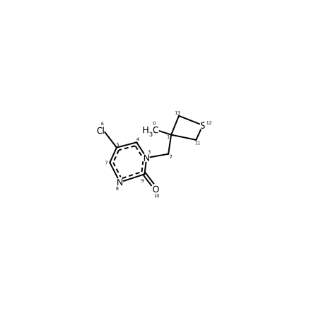 CC1(Cn2cc(Cl)cnc2=O)CSC1